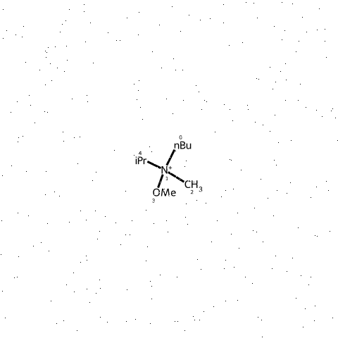 CCCC[N+](C)(OC)C(C)C